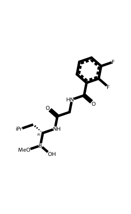 COB(O)[C@H](CC(C)C)NC(=O)CNC(=O)c1cccc(F)c1F